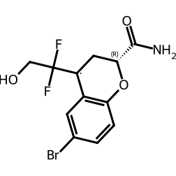 NC(=O)[C@H]1C[C](C(F)(F)CO)c2cc(Br)ccc2O1